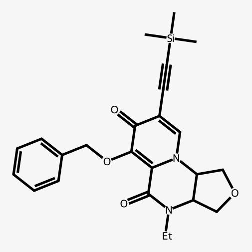 CCN1C(=O)c2c(OCc3ccccc3)c(=O)c(C#C[Si](C)(C)C)cn2C2COCC21